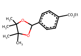 CCOC(=O)c1ccc(C2OC(C)(C)C(C)(C)O2)cc1